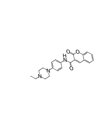 CCN1CCN(c2ccc(NC(=O)c3cc4ccccc4oc3=O)cc2)CC1